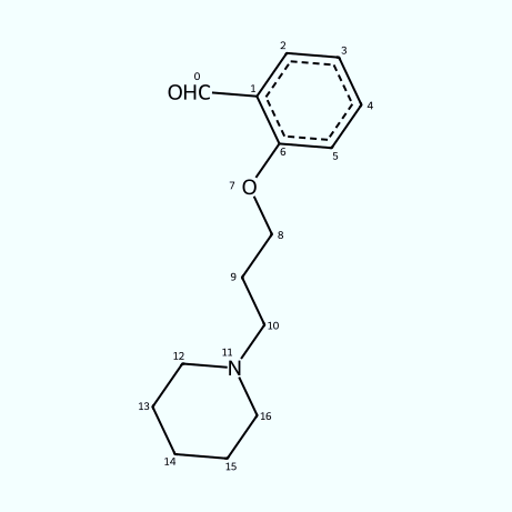 O=Cc1ccccc1OCCCN1CCCCC1